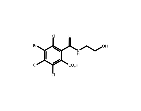 O=C(O)c1c(Cl)c(Cl)c(Br)c(Cl)c1C(=O)NCCO